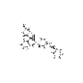 O=C(N[C@H](c1ccc(Cl)cc1)c1ccccn1)C1CCN(CCOC2CCCCC2)CC1